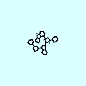 c1ccc(-c2cccc(-c3cc(-c4nc(-c5ccccc5)nc(-c5cccc6oc7ccccc7c56)n4)cc4ccccc34)c2)cc1